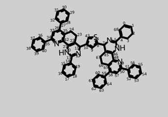 C1=CCCC(C2=NC(c3cc(C4N=C(c5ccccc5)NC5=C4CCc4c(-c6ccccc6)cc(-c6ccccc6)nc45)cs3)C3=C(N2)c2nc(-c4ccccc4)cc(-c4ccccc4)c2CC3)=C1